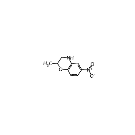 CC1CNc2cc([N+](=O)[O-])ccc2O1